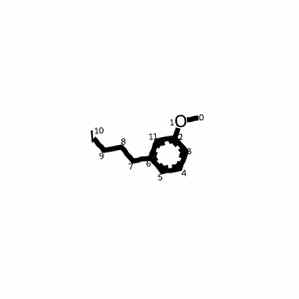 COc1cccc(CCCI)c1